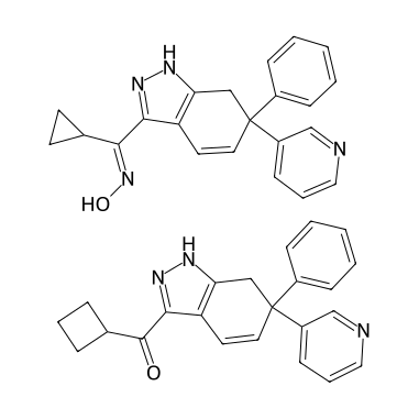 O=C(c1n[nH]c2c1C=CC(c1ccccc1)(c1cccnc1)C2)C1CCC1.ON=C(c1n[nH]c2c1C=CC(c1ccccc1)(c1cccnc1)C2)C1CC1